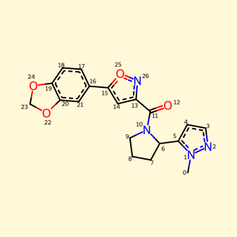 Cn1nccc1C1CCCN1C(=O)c1cc(-c2ccc3c(c2)OCO3)on1